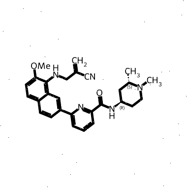 C=C(C#N)CNc1c(OC)ccc2ccc(-c3cccc(C(=O)N[C@@H]4CCN(C)[C@@H](C)C4)n3)cc12